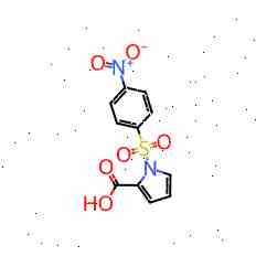 O=C(O)c1cccn1S(=O)(=O)c1ccc([N+](=O)[O-])cc1